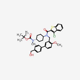 COc1ccc(-c2ccc(CO)cc2)cc1CN(C(=O)c1sc2ccccc2c1Cl)[C@H]1CC[C@H](N(C)C(=O)OC(C)(C)C)CC1